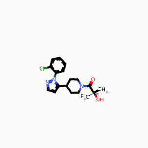 C[C@@](O)(C(=O)N1CCC(c2ccnn2-c2ccccc2Cl)CC1)C(F)(F)F